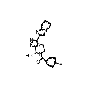 CC1c2nnc(-c3cn4ccccc4n3)n2CCN1C(=O)c1ccc(F)cc1